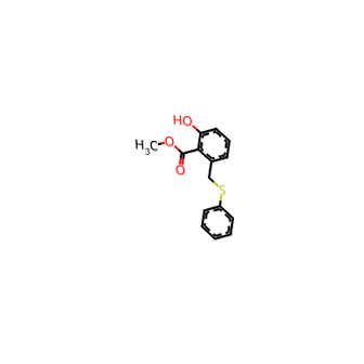 COC(=O)c1c(O)cccc1CSc1ccccc1